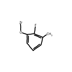 Cc1cccc([O][Zr])c1F